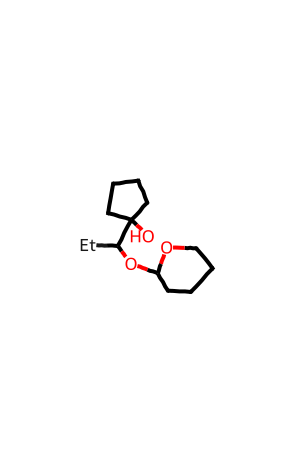 CCC(OC1CCCCO1)C1(O)CCCC1